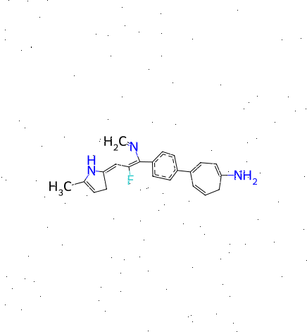 C=N/C(=C(F)\C=C1/CC=C(C)N1)c1ccc(C2=CC=C(N)CC=C2)cc1